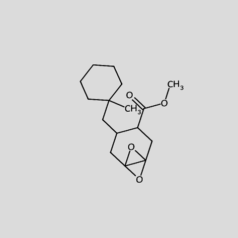 COC(=O)C1CC23OC2(CC1CC1(C)CCCCC1)O3